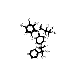 [2H]c1c([2H])c([2H])c(N(C(=O)C([2H])([2H])C([2H])([2H])[2H])C2CCN(C([2H])([2H])C([2H])(O)c3ccccc3)CC2)c([2H])c1[2H]